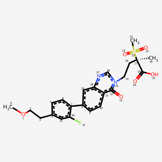 COCCc1ccc(-c2ccc3c(=O)n(CC[C@](C)(C(=O)O)S(C)(=O)=O)cnc3c2)c(F)c1